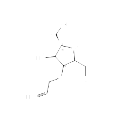 C=CCOC1C(CC)O[C@H](CO)C1O